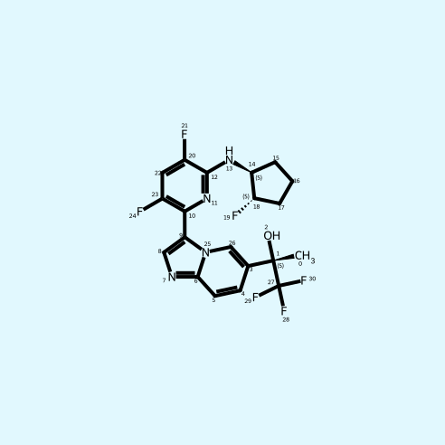 C[C@](O)(c1ccc2ncc(-c3nc(N[C@H]4CCC[C@@H]4F)c(F)cc3F)n2c1)C(F)(F)F